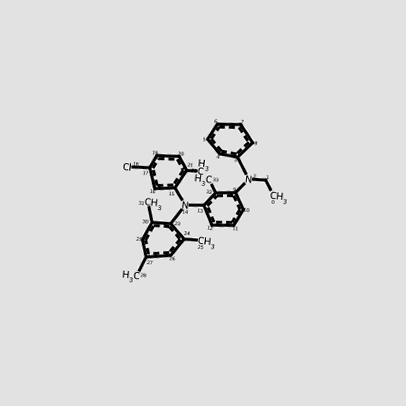 CCN(c1ccccc1)c1cccc(N(c2cc(Cl)ccc2C)c2c(C)cc(C)cc2C)c1C